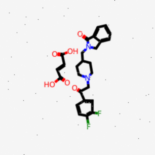 O=C(CN1CCC(CN2Cc3ccccc3C2=O)CC1)c1ccc(F)c(F)c1.O=C(O)/C=C/C(=O)O